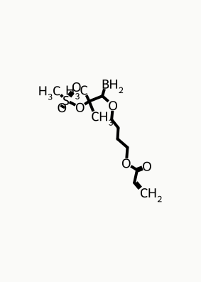 BC(OCCCCOC(=O)C=C)C(C)(C)OS(C)(=O)=O